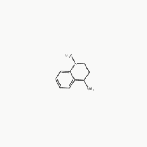 NC1CCN(P)c2ccccc21